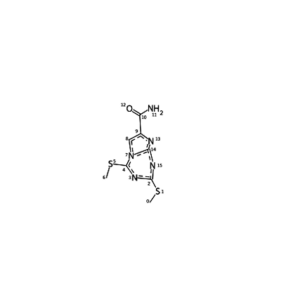 CSc1nc(SC)n2cc(C(N)=O)nc2n1